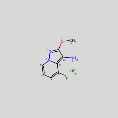 COc1nn2cccc(Cl)c2c1N.Cl